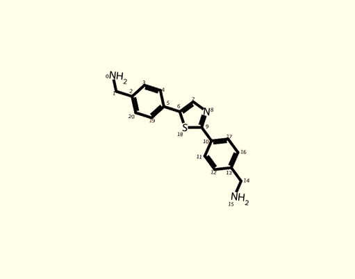 NCc1ccc(-c2cnc(-c3ccc(CN)cc3)s2)cc1